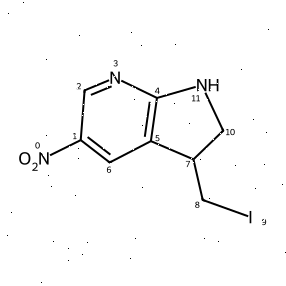 O=[N+]([O-])c1cnc2c(c1)C(CI)CN2